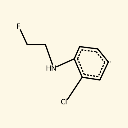 FCCNc1cc[c]cc1Cl